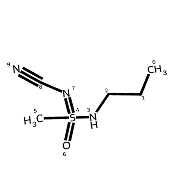 CCCNS(C)(=O)=NC#N